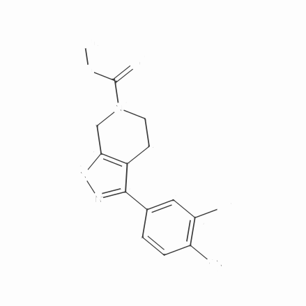 CC(C)(C)OC(=O)N1CCc2c(-c3ccc(C#N)c(F)c3)n[nH]c2C1